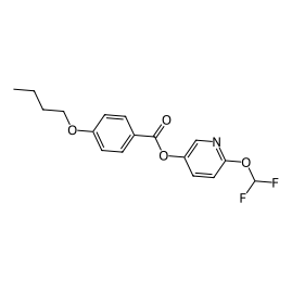 CCCCOc1ccc(C(=O)Oc2ccc(OC(F)F)nc2)cc1